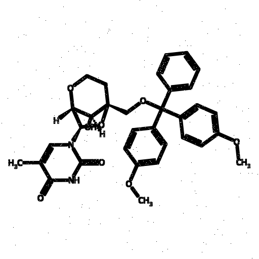 COc1ccc(C(OC[C@@]23CCO[C@@H]([C@H](n4cc(C)c(=O)[nH]c4=O)O2)[C@@H]3O)(c2ccccc2)c2ccc(OC)cc2)cc1